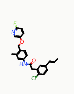 C/C=C/c1ccc(Cl)c(CC(=O)Nc2ccc(COc3ccc(F)nc3)c(C)c2)c1